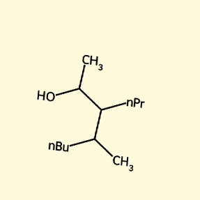 CCCCC(C)C(CCC)C(C)O